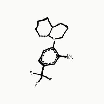 Nc1cc(C(F)(F)F)ccc1N1CCCC2CCCCC21